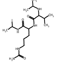 CC(C)NC(C(=O)NC(CCCNC(N)=O)C(=O)NC(C)I)C(C)C